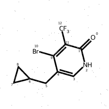 O=c1[nH]cc(CC2CC2)c(Br)c1C(F)(F)F